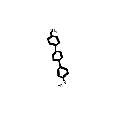 N=Nc1ccc(-c2ccc(-c3ccc(N)cc3)cc2)cc1